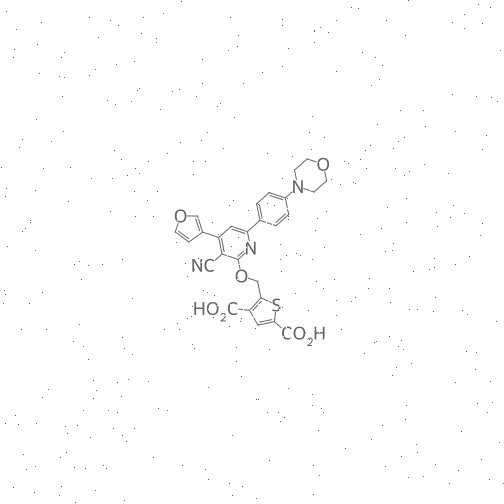 N#Cc1c(-c2ccoc2)cc(-c2ccc(N3CCOCC3)cc2)nc1OCc1sc(C(=O)O)cc1C(=O)O